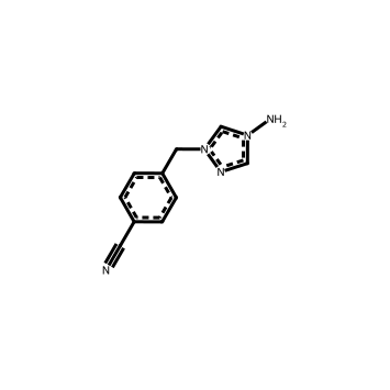 N#Cc1ccc(C[n+]2cn(N)cn2)cc1